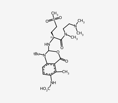 Cc1c(NC(=O)O)ccc2c1C(=O)OC(N[C@@H](CCS(C)(=O)=O)C(=O)N(C)CCN(C)C)N2C(C)(C)C